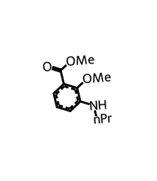 CCCNc1cccc(C(=O)OC)c1OC